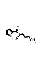 CCCCN(N)C(=O)c1cccs1